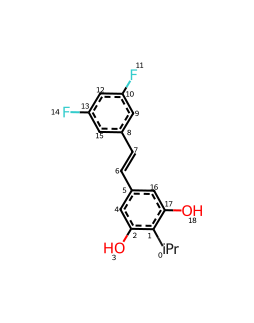 CC(C)c1c(O)cc(C=Cc2cc(F)cc(F)c2)cc1O